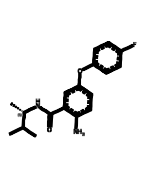 CC(C)[C@H](C)NC(=O)c1cc(Oc2ccc(F)cc2)ccc1N